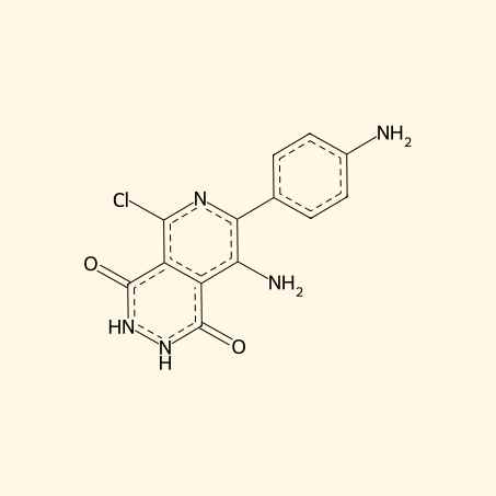 Nc1ccc(-c2nc(Cl)c3c(=O)[nH][nH]c(=O)c3c2N)cc1